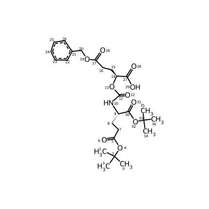 CC(C)(C)OC(=O)CC[C@H](NC(=O)O[C@@H](CCC(=O)OCc1ccccc1)C(=O)O)C(=O)OC(C)(C)C